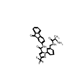 C[C@H](N)C(=O)NCc1cccc(-n2nc(C(F)(F)F)cc2C(=O)Nc2ccc3c(c2)C(=O)c2ccccc2-3)c1